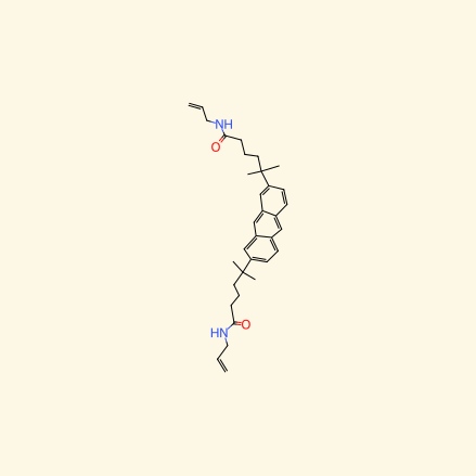 C=CCNC(=O)CCCC(C)(C)c1ccc2cc3ccc(C(C)(C)CCCC(=O)NCC=C)cc3cc2c1